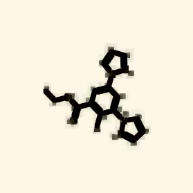 CCOC(=O)c1cc(-n2cccn2)cc(-n2cccn2)c1C